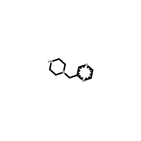 c1cnc(CN2CCNCC2)cn1